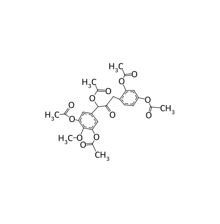 COc1c(OC(C)=O)cc(C(OC(C)=O)C(=O)Cc2ccc(OC(C)=O)cc2OC(C)=O)cc1OC(C)=O